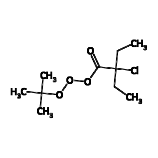 CCC(Cl)(CC)C(=O)OOOC(C)(C)C